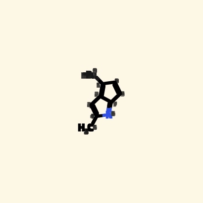 CCCCC1=C2[C]=C(C)N=C2C=C1